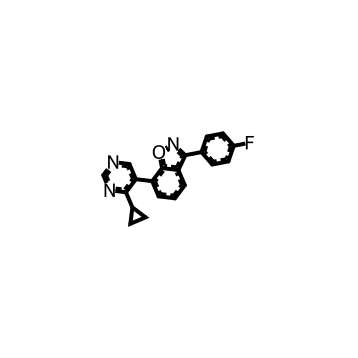 Fc1ccc(-c2noc3c(-c4cncnc4C4CC4)cccc23)cc1